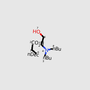 CCCCCCCCCCCC(=O)O.CCCCN(CCO)CCCC